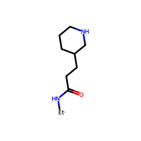 C[CH]NC(=O)CCC1CCCNC1